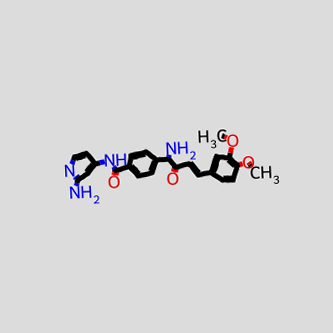 COc1ccc(C=CC(=O)C(N)c2ccc(C(=O)Nc3ccnc(N)c3)cc2)cc1OC